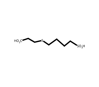 O=C(O)CCSCCCCS(=O)(=O)O